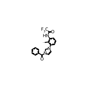 [CH2]c1c(NC(=O)C(F)(F)F)cccc1N1C=CN(C(=O)c2ccccc2)C1